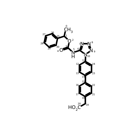 CC(OC(=O)Nc1nnnn1-c1ccc(-c2ccc(CC(=O)O)cc2)cc1)c1ccccc1